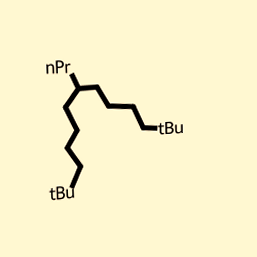 [CH2]CCC(CCCCC(C)(C)C)CCCCC(C)(C)C